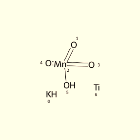 [KH].[O]=[Mn](=[O])(=[O])[OH].[Ti]